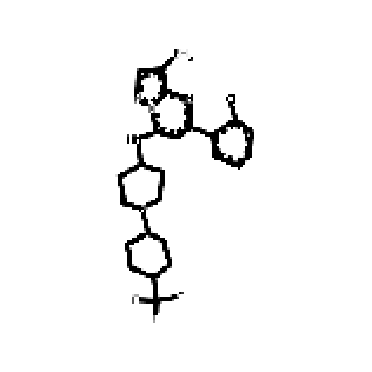 Bc1cnn2c(NC3CCN(C4CCC(C(F)(F)F)CC4)CC3)cc(-c3ccccc3Cl)nc12